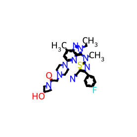 CCn1nc2c(C)cc(N3CCN(CC(=O)N4CC(O)C4)CC3)nc2c1N(C)c1nc(-c2ccc(F)cc2)c(C#N)s1